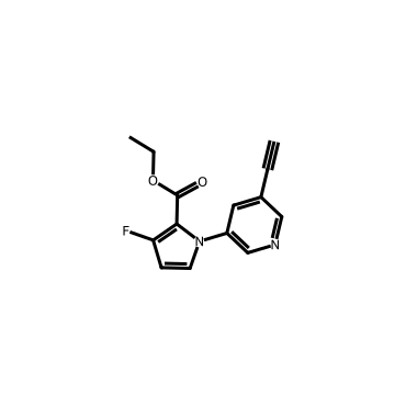 C#Cc1cncc(-n2ccc(F)c2C(=O)OCC)c1